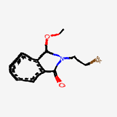 COC1c2ccccc2C(=O)N1CCBr